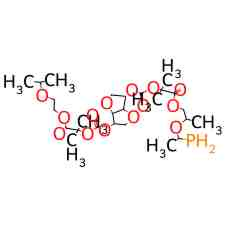 CC(C)OCCOC(=O)C(C)(C)OC(=O)OC1COC2C(OC(=O)OC(C)(C)C(=O)OCC(C)OC(C)P)COC12